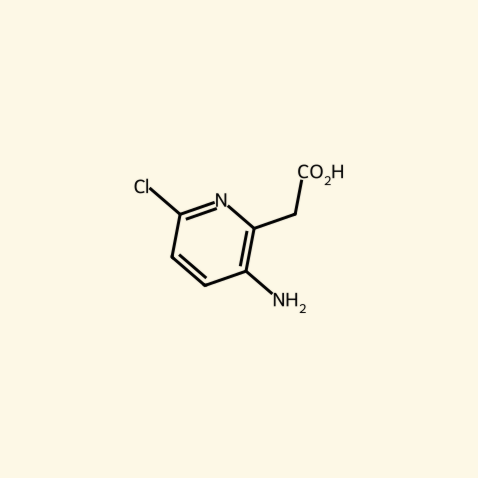 Nc1ccc(Cl)nc1CC(=O)O